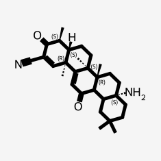 C[C@@H]1C(=O)C(C#N)=C[C@]2(C)C3=CC(=O)C4C5CC(C)(C)CC[C@]5(N)CC[C@@]4(C)[C@]3(C)CC[C@@H]12